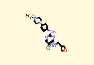 CN1CCN(c2ccc(Nc3ncc(Cl)c(NCC4COC4)n3)cc2F)CC1